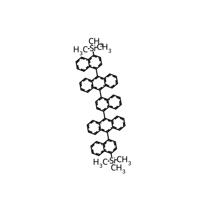 C[Si](C)(C)c1ccc(-c2c3ccccc3c(-c3ccc(-c4c5ccccc5c(-c5ccc([Si](C)(C)C)c6ccccc56)c5ccccc45)c4ccccc34)c3ccccc23)c2ccccc12